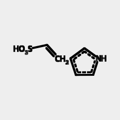 C=CS(=O)(=O)O.c1cc[nH]c1